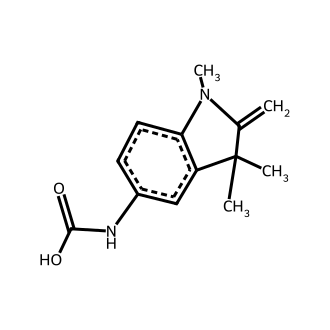 C=C1N(C)c2ccc(NC(=O)O)cc2C1(C)C